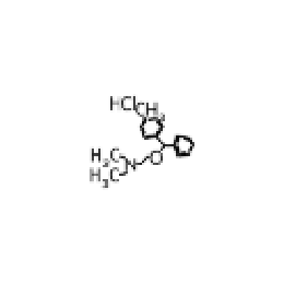 CCN(CC)CCOC(c1ccccc1)c1ccc(C)cc1.Cl